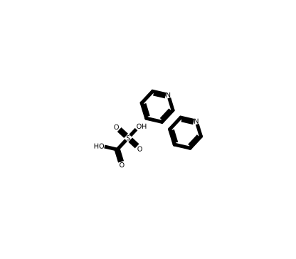 O=C(O)S(=O)(=O)O.c1ccncc1.c1ccncc1